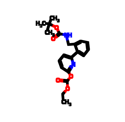 CCOC(=O)Oc1cccc(-c2ccccc2CNC(=O)OC(C)(C)C)n1